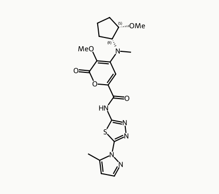 COc1c(N(C)[C@@H]2CCC[C@@H]2OC)cc(C(=O)Nc2nnc(-n3nccc3C)s2)oc1=O